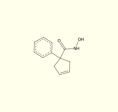 O=C(NO)C1(c2ccccc2)CC=CC1